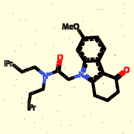 COc1ccc2c3c(n(CC(=O)N(CCC(C)C)CCC(C)C)c2c1)CCCC3=O